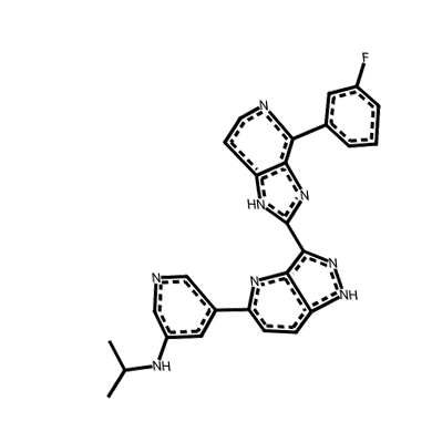 CC(C)Nc1cncc(-c2ccc3[nH]nc(-c4nc5c(-c6cccc(F)c6)nccc5[nH]4)c3n2)c1